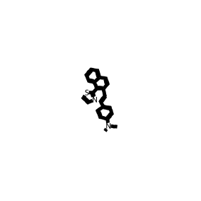 CN(C)c1ccc(C=Cc2ccc3ccccc3c2-c2nccs2)cc1